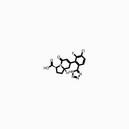 O=C(O)[C@@H]1CC[C@H]2CC(c3c(-c4nnn[nH]4)ccc(Cl)c3F)=CC(=O)N21